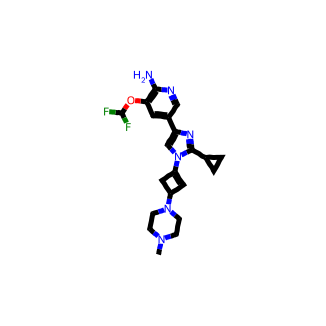 CN1CCN(C2C=C(n3cc(-c4cnc(N)c(OC(F)F)c4)nc3C3CC3)C2)CC1